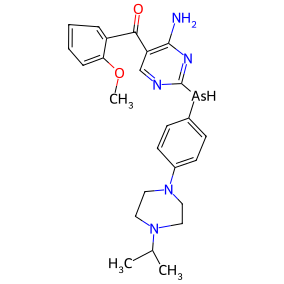 COc1ccccc1C(=O)c1cnc([AsH]c2ccc(N3CCN(C(C)C)CC3)cc2)nc1N